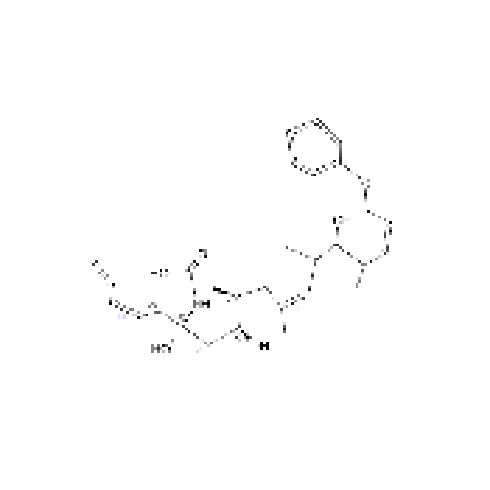 C=C/C=C\[C@H](C)[C@@](O)(NC(=O)O)[C@@H](C)[C@H](O)[C@@H](C)C/C(C)=C\C(C)C(O)C(C)/C=C\COc1ccccc1